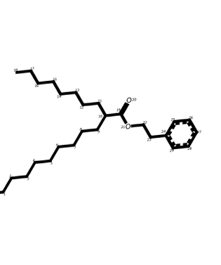 CCCCCCCCCCC(CCCCCCCC)C(=O)OCCc1ccccc1